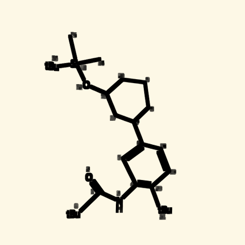 CC(C)(C)C(=O)Nc1cc(C2CCCC(O[Si](C)(C)C(C)(C)C)C2)ccc1C(C)(C)C